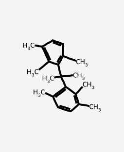 Cc1ccc(C)c(C(C)(C)c2c(C)ccc(C)c2C)c1C